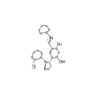 Oc1cc(O)c(-c2ccnn2-c2ccccc2Cl)cc1/C=N/c1ccccc1